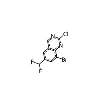 FC(F)c1cc(Br)c2nc(Cl)ncc2c1